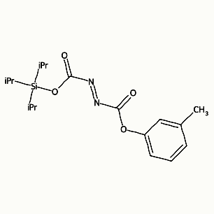 Cc1cccc(OC(=O)N=NC(=O)O[Si](C(C)C)(C(C)C)C(C)C)c1